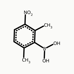 Cc1ccc([N+](=O)[O-])c(C)c1B(O)O